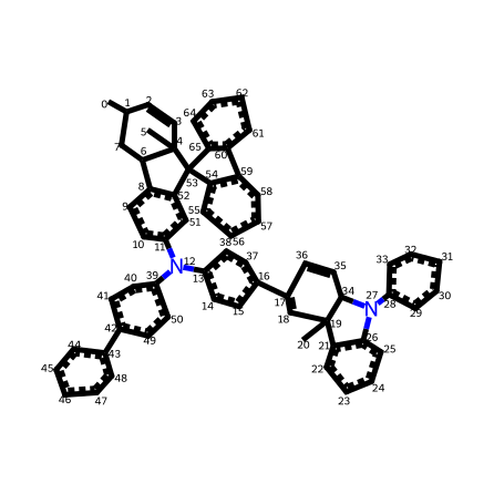 CC1C=CC2(C)C(C1)c1ccc(N(c3ccc(C4=CC5(C)c6ccccc6N(c6ccccc6)C5C=C4)cc3)c3ccc(-c4ccccc4)cc3)cc1C21c2ccccc2-c2ccccc21